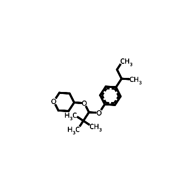 CCC(C)c1ccc(OC(OC2CCOCC2)C(C)(C)C)cc1